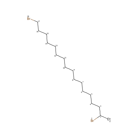 CCC(Br)CCCCCCCCCCCCCCCBr